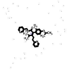 Cc1cc(OC(C)C)ccc1/C(C(=O)NCc1cccnc1)=C(\CCc1ccccn1)C(C)C